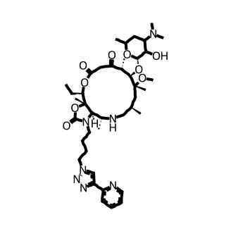 CC[C@H]1OC(=O)CC(=O)[C@H](C)[C@@H](O[C@@H]2OC(C)CC(N(C)C)C2O)[C@](C)(OC)C[C@@H](C)CN[C@H](C)[C@H]2N(CCCCn3cc(-c4ccccn4)nn3)C(=O)O[C@]12C